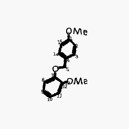 COc1ccc(COc2c[c]ccc2OC)cc1